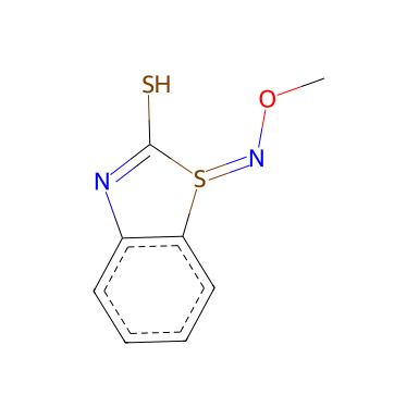 CO/N=S1\C(S)=Nc2ccccc21